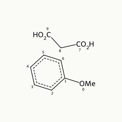 COc1ccccc1.O=C(O)CC(=O)O